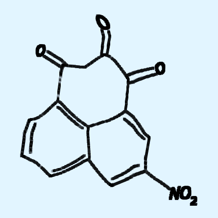 O=C1C(=O)c2cccc3cc([N+](=O)[O-])cc(c23)C1=O